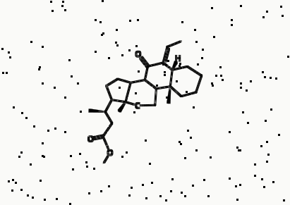 C/C=C1/C(=O)C2C3CCC([C@H](C)CC(=O)OC)[C@@]3(C)CCC2[C@@]2(C)CCCC[C@@H]12